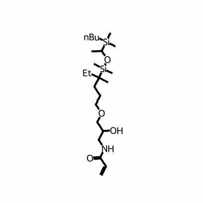 C=CC(=O)NCC(O)COCCCC(C)(CC)[Si](C)(C)OC(C)[Si](C)(C)CCCC